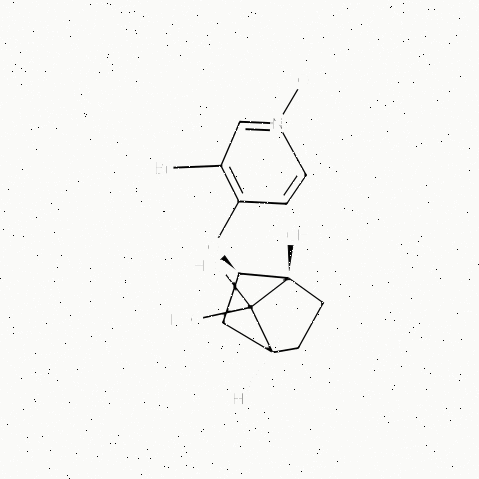 CC1(C)[C@H]2CC[C@@]1(C)[C@H](Oc1cc[n+]([O-])cc1Br)C2